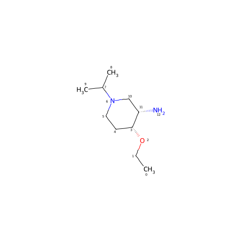 CCO[C@@H]1CCN(C(C)C)C[C@@H]1N